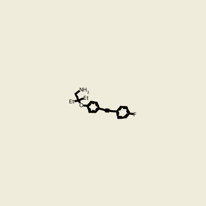 CCC(CC)(CN)Oc1ccc(C#Cc2ccc(F)cc2)cc1